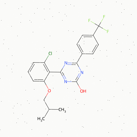 CC(C)COc1cccc(Cl)c1-c1nc(O)nc(-c2ccc(C(F)(F)F)cc2)n1